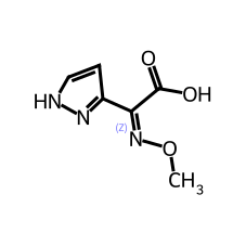 CO/N=C(\C(=O)O)c1cc[nH]n1